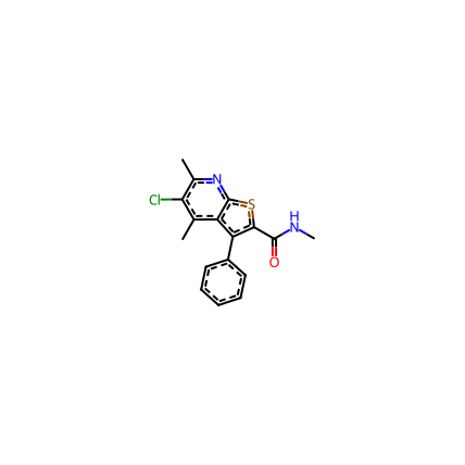 CNC(=O)c1sc2nc(C)c(Cl)c(C)c2c1-c1ccccc1